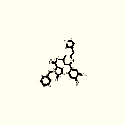 CC(CC(NCCc1ccsc1)C1=CC(=O)C(=O)C=C1)NC(=O)C1CCC(=O)N1Cc1ccccc1